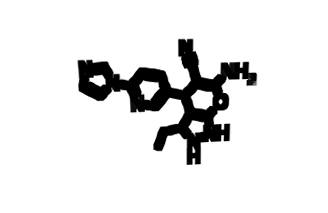 CCC1NNC2=C1C(c1ccc(-n3ccnc3)nc1)C(C#N)=C(N)O2